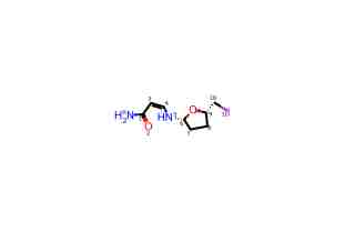 NC(=O)/C=C\N[C@H]1CC[C@@H](CI)O1